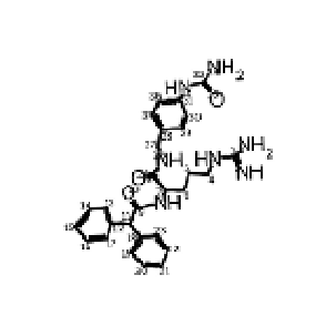 N=C(N)NCCCC(NC(=O)C(c1ccccc1)c1ccccc1)C(=O)NCc1ccc(NC(N)=O)cc1